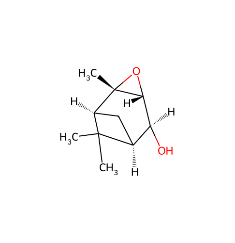 CC1(C)[C@H]2C[C@@H]1[C@]1(C)O[C@@H]1[C@H]2O